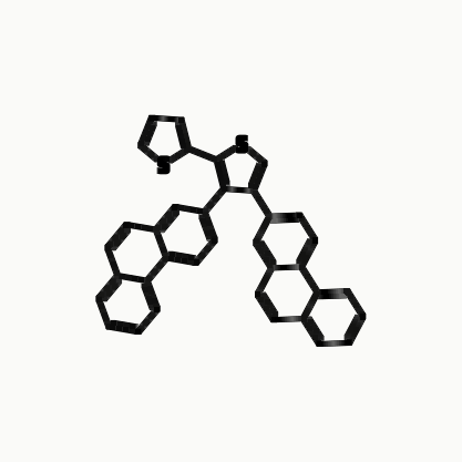 c1csc(-c2scc(-c3ccc4c(ccc5ccccc54)c3)c2-c2ccc3c(ccc4ccccc43)c2)c1